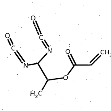 C=CC(=O)OC(C)C(N=C=O)N=C=O